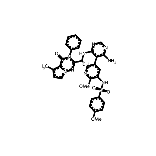 COc1ccc(S(=O)(=O)Nc2cc(-c3c(N)ncnc3NC(C)c3nn4ccc(C)c4c(=O)n3-c3ccccc3)cnc2OC)cc1